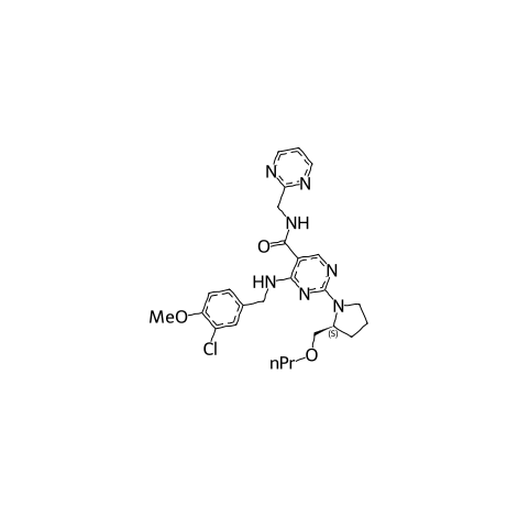 CCCOC[C@@H]1CCCN1c1ncc(C(=O)NCc2ncccn2)c(NCc2ccc(OC)c(Cl)c2)n1